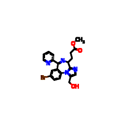 COC(=O)CCC1N=C(c2ccccn2)c2cc(Br)ccc2-n2c(CO)cnc21